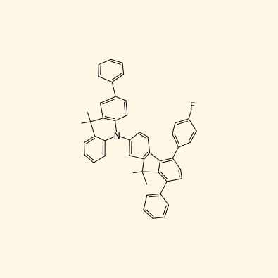 CC1(C)c2ccccc2N(c2ccc3c(c2)C(C)(C)c2c(-c4ccccc4)ccc(-c4ccc(F)cc4)c2-3)c2ccc(-c3ccccc3)cc21